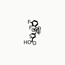 O=C(O)c1cc(N(F)S(=O)(=O)c2cccc(F)c2F)cs1